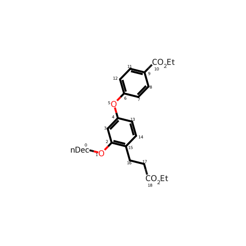 CCCCCCCCCCOc1cc(Oc2ccc(C(=O)OCC)cc2)ccc1CCC(=O)OCC